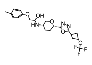 Cc1ccc(OC[C@@H](O)N[C@@H]2CC[C@@H](c3nnc(C4CC(OC(F)(F)F)C4)o3)OC2)cc1